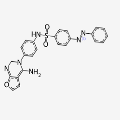 NC1=c2ccoc2=NCN1c1ccc(NS(=O)(=O)c2ccc(/N=N/c3ccccc3)cc2)cc1